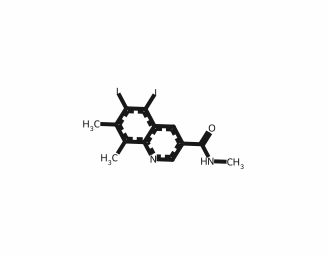 CNC(=O)c1cnc2c(C)c(C)c(I)c(I)c2c1